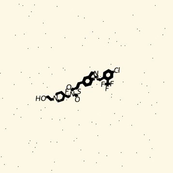 O=C1S/C(=C\c2ccc3c(cnn3Cc3ccc(Cl)cc3C(F)(F)F)c2)C(=O)N1CC1(F)CCN(CCO)CC1